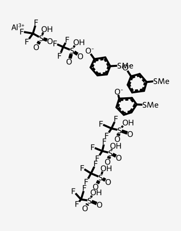 CSc1cccc([O-])c1.CSc1cccc([O-])c1.CSc1cccc([O-])c1.O=S(=O)(O)C(F)(F)F.O=S(=O)(O)C(F)(F)F.O=S(=O)(O)C(F)(F)F.O=S(=O)(O)C(F)(F)F.O=S(=O)(O)C(F)(F)F.O=S(=O)(O)C(F)(F)F.[Al+3]